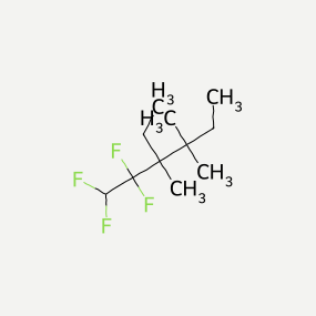 CCC(C)(C)C(C)(CC)C(F)(F)C(F)F